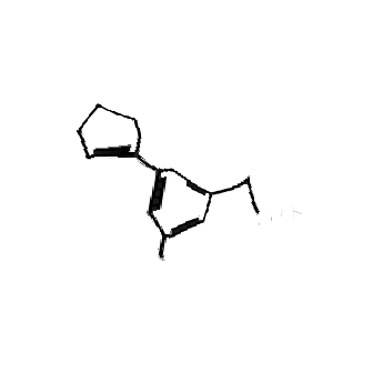 O=C(O)Cc1cc(F)cc(C2=CCCC2)c1